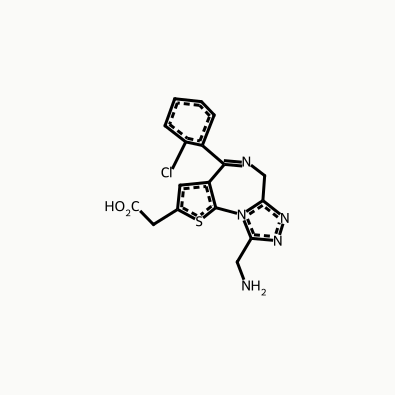 NCc1nnc2n1-c1sc(CC(=O)O)cc1C(c1ccccc1Cl)=NC2